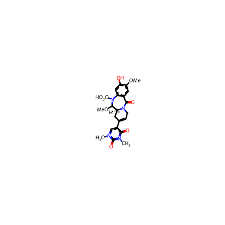 COc1cc2c(cc1O)N(C(=O)O)C(OC)[C@@H]1CC(c3cn(C)c(=O)n(C)c3=O)=CCN1C2=O